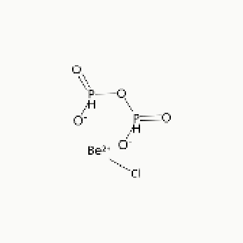 CCl.O=[PH]([O-])O[PH](=O)[O-].[Be+2]